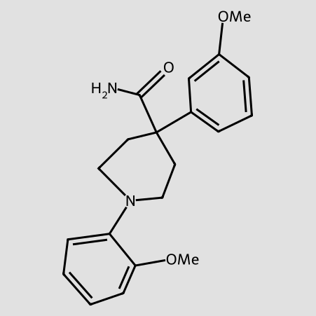 COc1cccc(C2(C(N)=O)CCN(c3ccccc3OC)CC2)c1